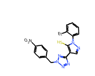 CCc1ccccc1-n1ncc(-c2nnn(Cc3ccc([N+](=O)[O-])cc3)n2)c1S